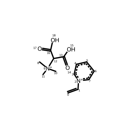 C=C[n+]1ccccc1.C[N+](C)(C)C(C(=O)O)C(=O)O